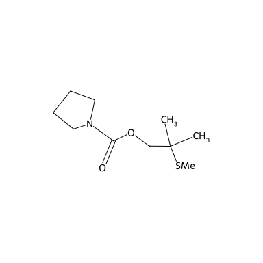 CSC(C)(C)COC(=O)N1CCCC1